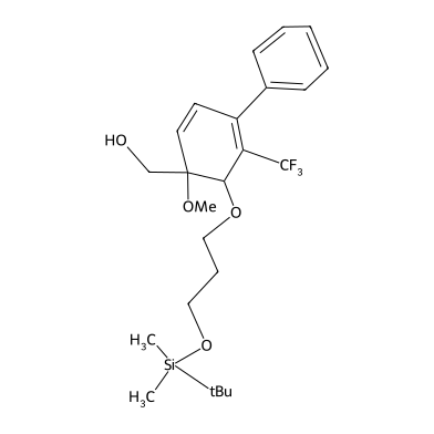 COC1(CO)C=CC(c2ccccc2)=C(C(F)(F)F)C1OCCCO[Si](C)(C)C(C)(C)C